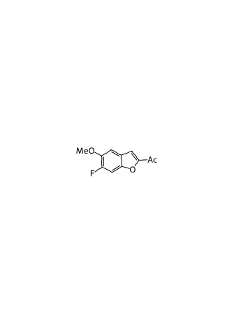 COc1cc2cc(C(C)=O)oc2cc1F